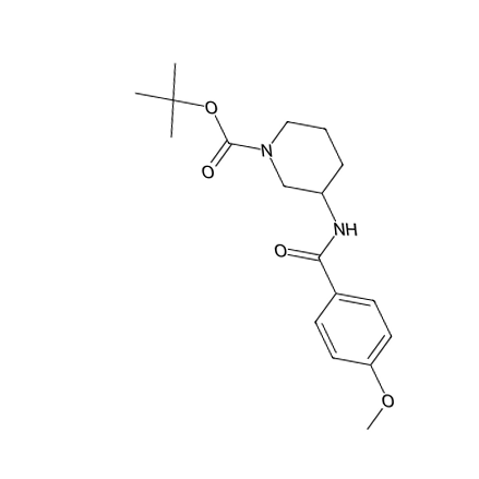 COc1ccc(C(=O)NC2CCCN(C(=O)OC(C)(C)C)C2)cc1